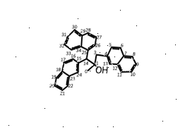 [CH2]C(O)(Cc1ccc2ccccc2c1)C(c1ccc2ccccc2c1)c1cccc2ccccc12